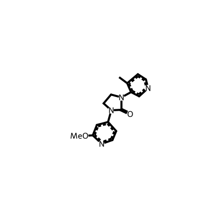 COc1cc(N2CCN(c3cnccc3C)C2=O)ccn1